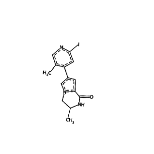 Cc1cnc(I)cc1-c1cc2n(c1)CC(C)NC2=O